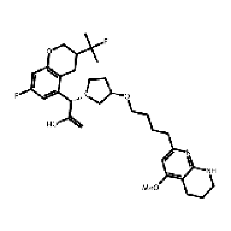 C=C(O)[C@H](c1cc(F)cc2c1CC(C(C)(C)F)CO2)N1CC[C@@H](OCCCCc2cc(OC)c3c(n2)NCCC3)C1